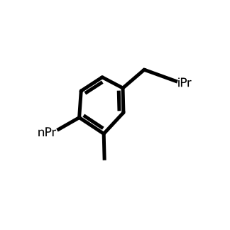 CCCc1ccc(CC(C)C)cc1C